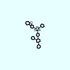 c1ccc(-c2ccc(-c3ccc(-c4nc(-c5ccccc5)nc(-c5ccc6c(c5)oc5ccccc56)n4)cc3)c(-c3ccccc3)c2)cc1